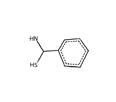 [NH]C(S)c1ccccc1